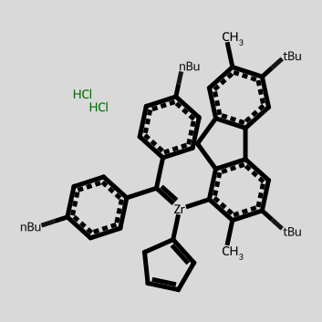 CCCCc1ccc([C](c2ccc(CCCC)cc2)=[Zr]([C]2=CC=CC2)[c]2c(C)c(C(C)(C)C)cc3c2Cc2cc(C)c(C(C)(C)C)cc2-3)cc1.Cl.Cl